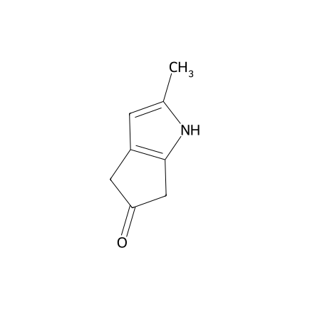 Cc1cc2c([nH]1)CC(=O)C2